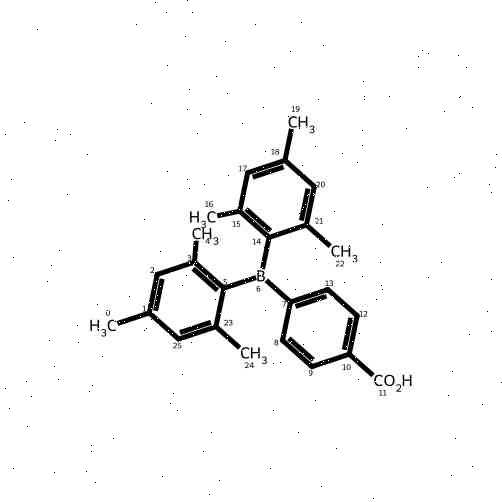 Cc1cc(C)c(B(c2ccc(C(=O)O)cc2)c2c(C)cc(C)cc2C)c(C)c1